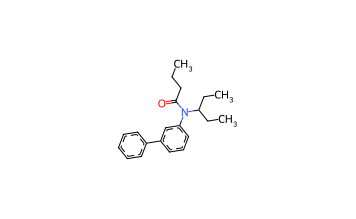 CCCC(=O)N(c1cccc(-c2ccccc2)c1)C(CC)CC